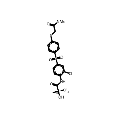 CNC(=O)CSc1ccc(S(=O)(=O)c2ccc(NC(=O)[C@@](C)(O)C(F)(F)F)c(Cl)c2)cc1